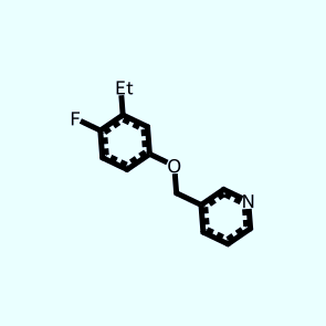 CCc1cc(OCc2cccnc2)ccc1F